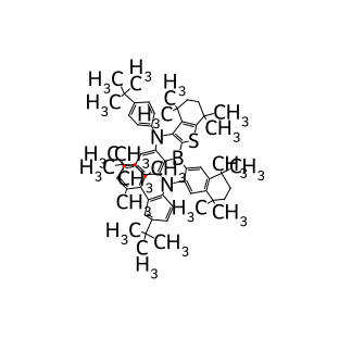 Cc1cc(C)c(-c2cc(C(C)(C)C)ccc2N2c3cc4c(cc3B3c5sc6c(c5N(c5ccc(C(C)(C)C)cc5)c5cc(C(C)(C)C)cc2c53)C(C)(C)CCC6(C)C)C(C)(C)CCC4(C)C)c(C)c1